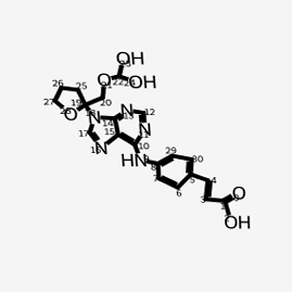 O=C(O)/C=C/c1ccc(Nc2ncnc3c2ncn3C2(COC(O)O)CCCO2)cc1